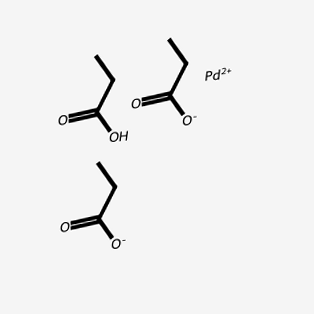 CCC(=O)O.CCC(=O)[O-].CCC(=O)[O-].[Pd+2]